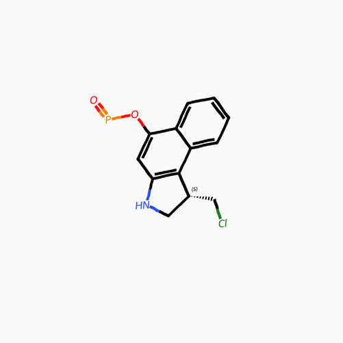 O=POc1cc2c(c3ccccc13)[C@H](CCl)CN2